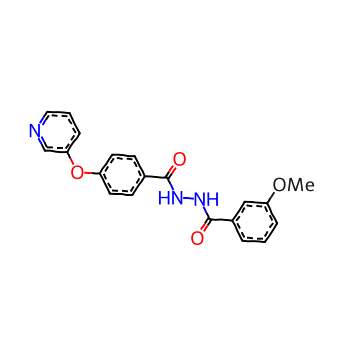 COc1cccc(C(=O)NNC(=O)c2ccc(Oc3cccnc3)cc2)c1